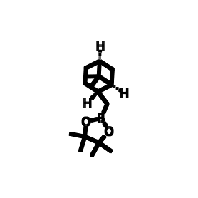 CC1(C)[C@H]2CC[C@@H](CB3OC(C)(C)C(C)(C)O3)[C@@H]1C2